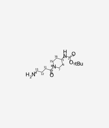 CC(C)(C)OC(=O)NC1CCN(C(=O)CCCN)CC1